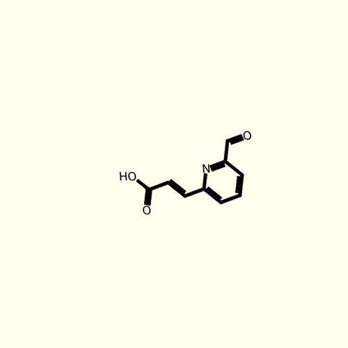 O=Cc1cccc(C=CC(=O)O)n1